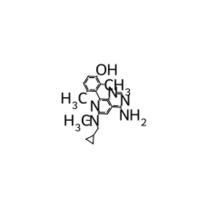 Cc1ccc(O)c(C)c1-c1nc(N(C)CC2CC2)cc2c(N)ncnc12